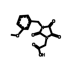 COc1cccc(CN2C(=O)C(=O)N(CC(=O)O)C2=O)c1